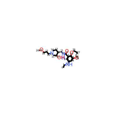 CCNc1cc2c(c(C(=O)NC[C@@H]3CCN(CCCOC)CC3O)c1)OCCCO2